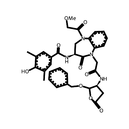 COCC(=O)N1C[C@H](NC(=O)c2cc(C)c(O)c(C)c2)C(=O)N(CC(=O)N[C@H]2CC(=O)OC2OCc2ccccc2)c2ccccc21